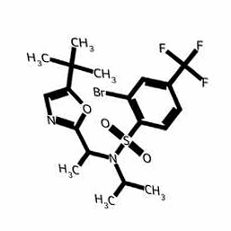 CC(C)N(C(C)c1ncc(C(C)(C)C)o1)S(=O)(=O)c1ccc(C(F)(F)F)cc1Br